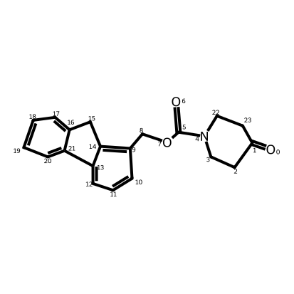 O=C1CCN(C(=O)OCc2cccc3c2Cc2ccccc2-3)CC1